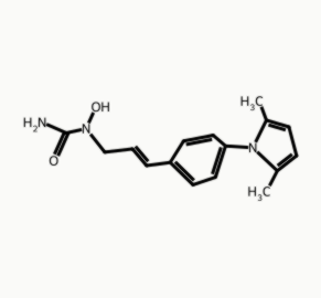 Cc1ccc(C)n1-c1ccc(C=CCN(O)C(N)=O)cc1